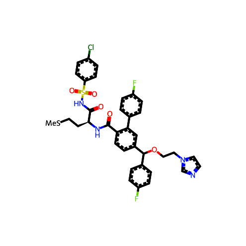 CSCC[C@H](NC(=O)c1ccc(C(OCCn2ccnc2)c2ccc(F)cc2)cc1-c1ccc(F)cc1)C(=O)NS(=O)(=O)c1ccc(Cl)cc1